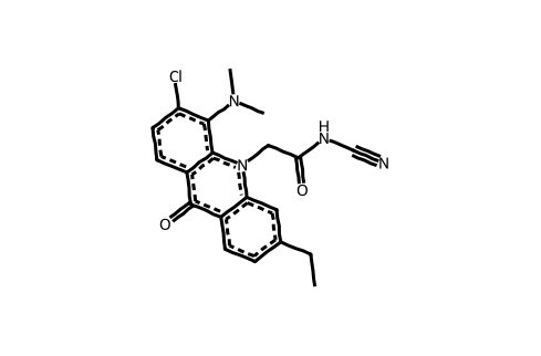 CCc1ccc2c(=O)c3ccc(Cl)c(N(C)C)c3n(CC(=O)NC#N)c2c1